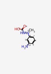 CN(NC(=O)O)c1cccc(N)c1